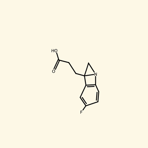 O=C(O)CCC12CN1c1ccc(F)cc12